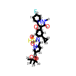 CNC(=O)c1c(-c2ccc(F)cc2)oc2cc(N(Cc3ccc(B4OC(C)(C)C(C)(C)O4)cn3)[SH](=O)=O)c(C3CC3)cc12